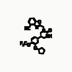 N#Cc1cccc2oc(CN3CC(c4ccc(OC(F)(F)F)c(OC5CCCC5)c4)CNC3=O)nc12